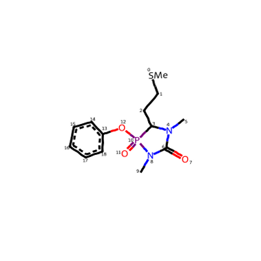 CSCCC1N(C)C(=O)N(C)P1(=O)Oc1ccccc1